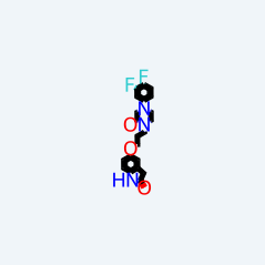 O=C1Cc2cc(OCCCN3CCN(c4ccc(F)c(F)c4)CC3=O)ccc2N1